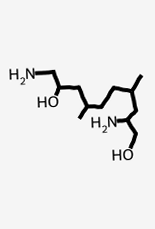 CC(CCC(C)CC(O)CN)CC(N)CO